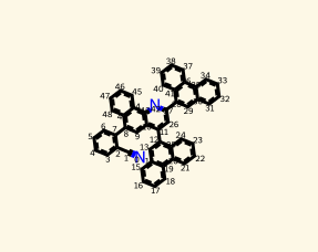 N#Cc1ccccc1-c1cc2c(-c3cc4ccccc4c4ccccc34)cc(-c3cc4ccccc4c4ccccc34)nc2c2ccccc12